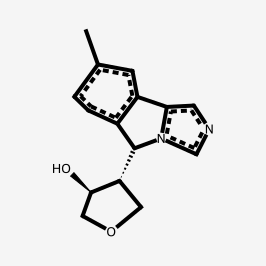 Cc1ccc2c(c1)-c1cncn1C2[C@@H]1COC[C@H]1O